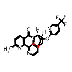 Cc1ccc(C(=O)N2CC3CC[C@H]2[C@H](Oc2ccc(C(F)(F)F)cn2)C3)c(-c2ncccc2F)n1